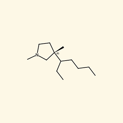 CCCCC(CC)[C@@]1(C)CCN(C)C1